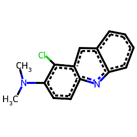 CN(C)c1ccc2nc3ccccc3cc2c1Cl